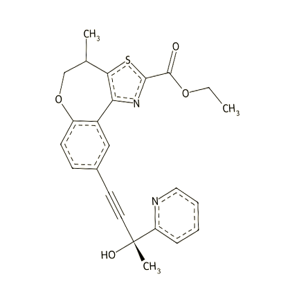 CCOC(=O)c1nc2c(s1)C(C)COc1ccc(C#C[C@@](C)(O)c3ccccn3)cc1-2